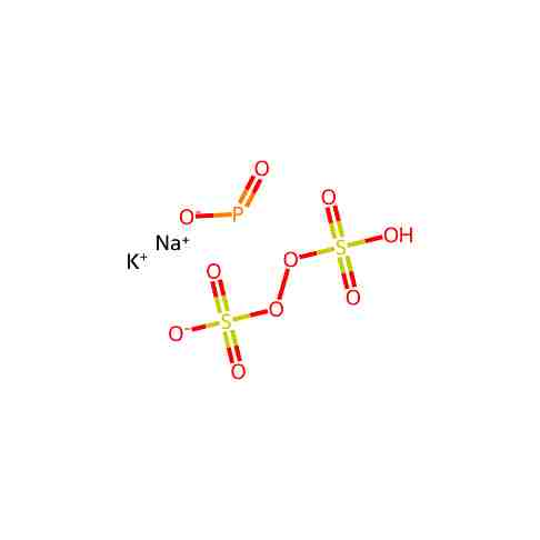 O=P[O-].O=S(=O)([O-])OOS(=O)(=O)O.[K+].[Na+]